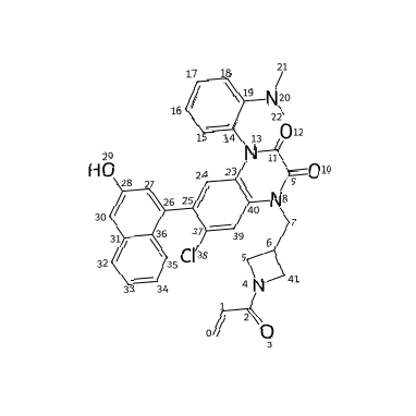 C=CC(=O)N1CC(Cn2c(=O)c(=O)n(-c3ccccc3N(C)C)c3cc(-c4cc(O)cc5ccccc45)c(Cl)cc32)C1